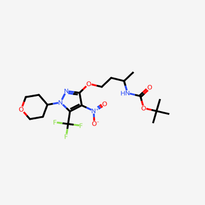 CC(CCOc1nn(C2CCOCC2)c(C(F)(F)F)c1[N+](=O)[O-])NC(=O)OC(C)(C)C